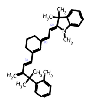 C=C(/C=C/C1=CC(=C/C=C2\N(C)c3ccccc3C2(C)C)/CCC1)C(C)(C)c1ccccc1C